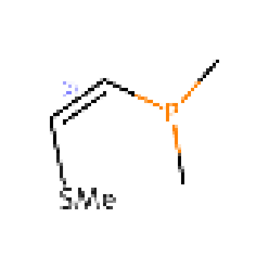 CS/C=C\P(C)C